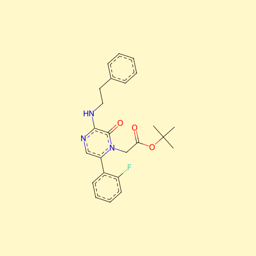 CC(C)(C)OC(=O)Cn1c(-c2ccccc2F)cnc(NCCc2ccccc2)c1=O